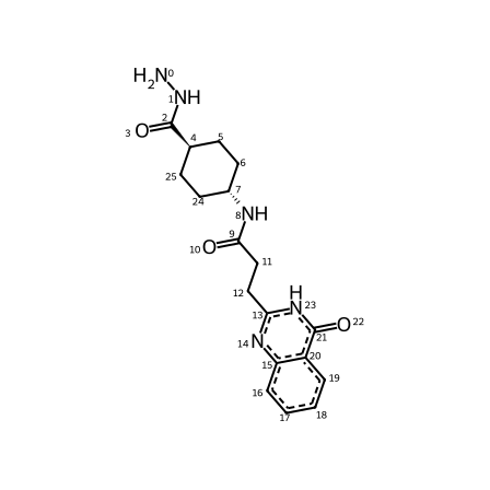 NNC(=O)[C@H]1CC[C@H](NC(=O)CCc2nc3ccccc3c(=O)[nH]2)CC1